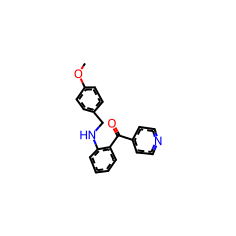 COc1ccc(CNc2ccccc2C(=O)c2ccncc2)cc1